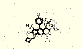 COC(=O)C(OC(C)(C)C)c1c(C)nc2c(c(C)c(C)n2CC2CCC2)c1-c1ccc(Cl)cc1